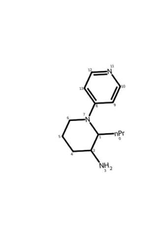 CCCC1C(N)CCCN1c1ccncc1